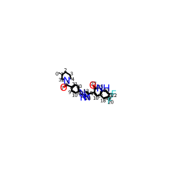 C[C@H]1CCCN(C(=O)c2ccc(-n3cc(-c4cc5cc(F)c(F)cc5[nH]c4=O)nn3)cc2)C1